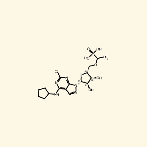 O=P(O)(O)C(OC[C@H]1O[C@@H](n2ncc3c(NC4CCCC4)nc(Cl)nc32)[C@H](O)[C@@H]1O)C(F)(F)F